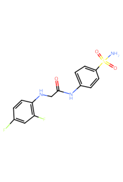 NS(=O)(=O)c1ccc(NC(=O)CNc2ccc(F)cc2F)cc1